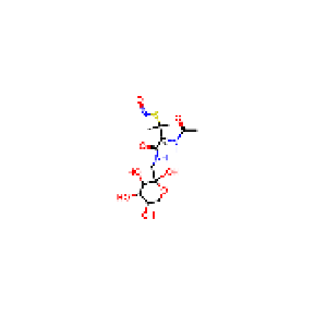 CC(=O)N[C@@H](C(=O)NCC1(O)OCC(O)C(O)C1O)C(C)(C)SN=O